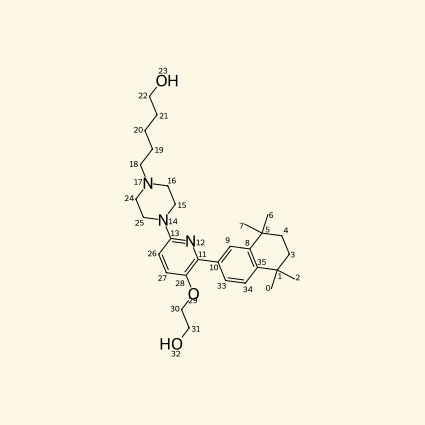 CC1(C)CCC(C)(C)c2cc(-c3nc(N4CCN(CCCCCO)CC4)ccc3OCCO)ccc21